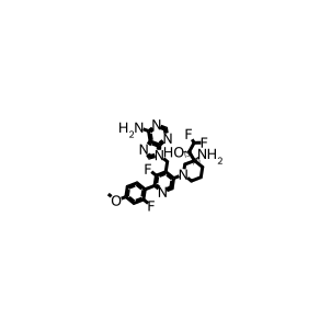 COc1ccc(-c2ncc(N3CCC[C@](N)([C@H](O)C(F)F)C3)c(Cn3cnc4c(N)ncnc43)c2F)c(F)c1